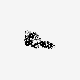 COc1cc(Nc2cc(Oc3ccc(N(C(N)=O)c4cc(C(C)(C)C)cc(NS(C)(=O)=O)c4OC)c4ccccc34)ccn2)ccc1C(=O)NC(C)N1CCSC(=O)C1=O